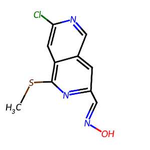 CSc1nc(/C=N/O)cc2cnc(Cl)cc12